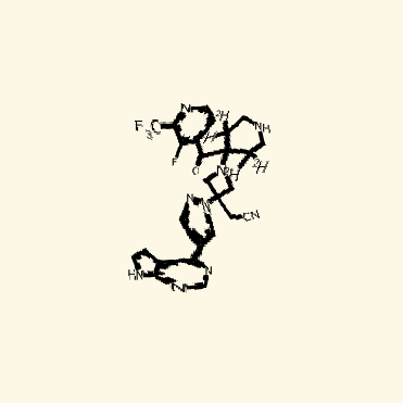 [2H]C1([2H])CNCC([2H])([2H])C1(C(=O)c1ccnc(C(F)(F)F)c1F)N1CC(CC#N)(n2cc(-c3ncnc4[nH]ccc34)cn2)C1